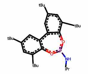 CC(C)Np1oc2c(C(C)(C)C)cc(C(C)(C)C)cc2c2cc(C(C)(C)C)cc(C(C)(C)C)c2o1